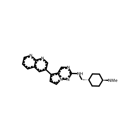 CN[C@H]1CC[C@H](CNc2ncc3c(-c4cnc5ncccc5c4)ccn3n2)CC1